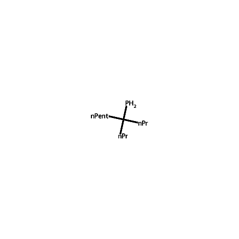 CCCCCC(P)(CCC)CCC